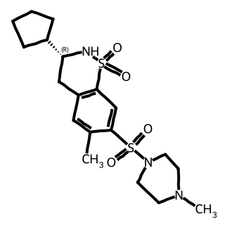 Cc1cc2c(cc1S(=O)(=O)N1CCN(C)CC1)S(=O)(=O)N[C@@H](C1CCCC1)C2